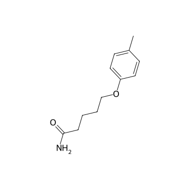 Cc1ccc(OCCCCC(N)=O)cc1